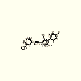 Cc1ccc(-n2c(C)nc(C#Cc3ccnc(Cl)c3)c2C)nc1